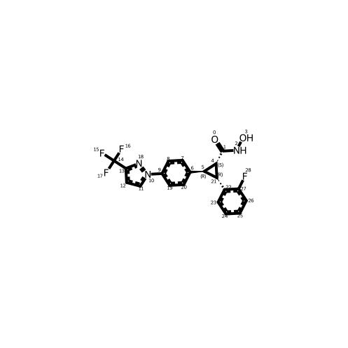 O=C(NO)[C@H]1[C@H](c2ccc(-n3ccc(C(F)(F)F)n3)cc2)[C@H]1c1ccccc1F